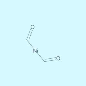 O=[CH][Ni][CH]=O